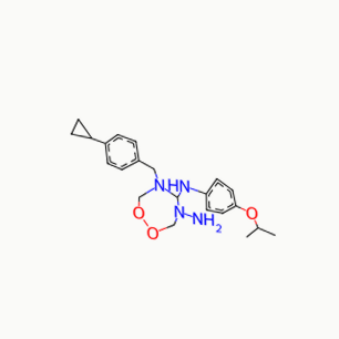 CC(C)Oc1ccc(NC2N(N)COOCN2Cc2ccc(C3CC3)cc2)cc1